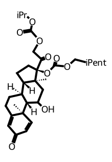 CCCC(C)COC(=O)O[C@]1(C(=O)COC(=O)OC(C)C)CC[C@H]2[C@@H]3CCC4=CC(=O)C=C[C@]4(C)[C@H]3C(O)C[C@@]21C